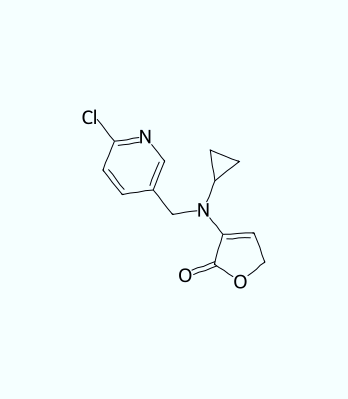 O=C1OCC=C1N(Cc1ccc(Cl)nc1)C1CC1